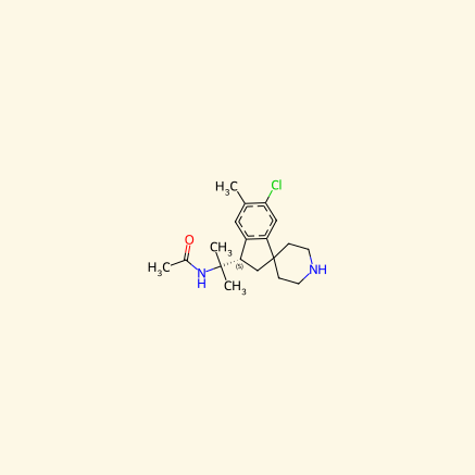 CC(=O)NC(C)(C)[C@H]1CC2(CCNCC2)c2cc(Cl)c(C)cc21